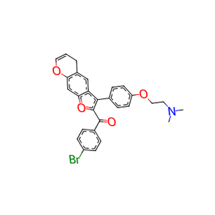 CN(C)CCOc1ccc(-c2c(C(=O)c3ccc(Br)cc3)oc3cc4c(cc23)CC=CO4)cc1